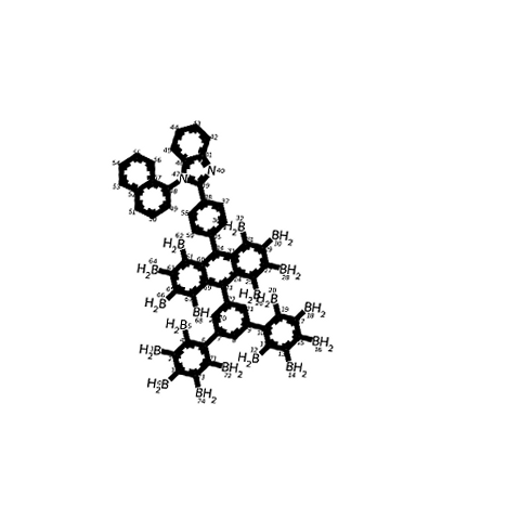 Bc1c(B)c(B)c(-c2cc(-c3c(B)c(B)c(B)c(B)c3B)cc(-c3c4c(B)c(B)c(B)c(B)c4c(-c4ccc(-c5nc6ccccc6n5-c5cccc6ccccc56)cc4)c4c(B)c(B)c(B)c(B)c34)c2)c(B)c1B